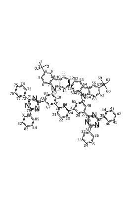 CC(C)(C)c1ccc2c(c1)c1ccccc1n2-c1cc(-c2cccc(-c3cc(-c4nc(-c5ccccc5)nc(-c5ccccc5)n4)cc(-n4c5ccccc5c5cc(C(C)(C)C)ccc54)c3)c2)cc(-c2nc(-c3ccccc3)nc(-c3ccccc3)n2)c1